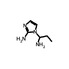 CCC(N)n1ccnc1N